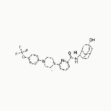 C[C@@H]1CN(c2ccc(OC(F)(F)F)cc2)CCN1c1cccc(C(=O)N[C@H]2C3CC4CC2C[C@](O)(C4)C3)n1